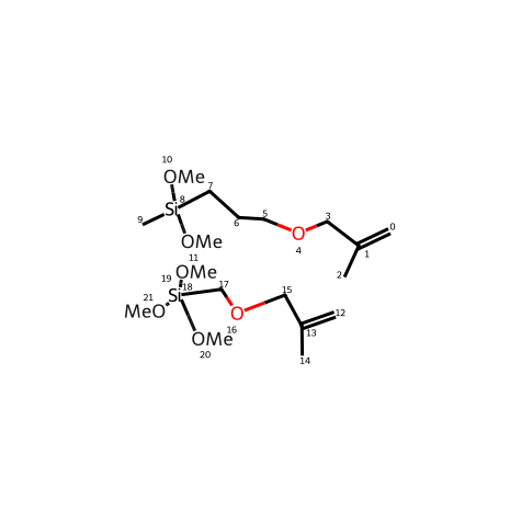 C=C(C)COCCC[Si](C)(OC)OC.C=C(C)COC[Si](OC)(OC)OC